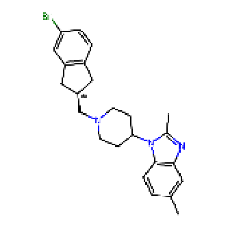 Cc1ccc2c(c1)nc(C)n2C1CCN(C[C@@H]2Cc3ccc(Br)cc3C2)CC1